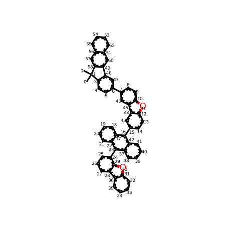 CC1(C)c2ccc(-c3ccc4oc5ccc(-c6c7ccccc7c(-c7cccc8c7oc7ccccc78)c7ccccc67)cc5c4c3)cc2-c2cc3ccccc3cc21